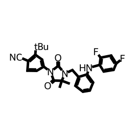 CC(C)(C)c1cc(N2C(=O)N(Cc3ccccc3Nc3ccc(F)cc3F)C(C)(C)C2=O)ccc1C#N